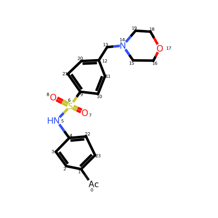 CC(=O)c1ccc(NS(=O)(=O)c2ccc(CN3CCOCC3)cc2)cc1